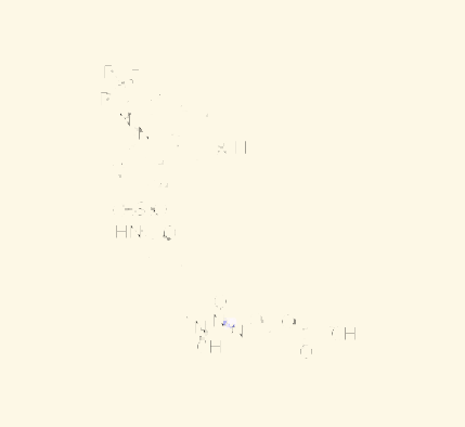 CCC(=O)OCO/N=[N+](\[O-])N(C)CCCCCC(=O)NS(=O)(=O)c1ccc(-n2nc(C(F)(F)F)cc2-c2ccc(C)cc2)cc1